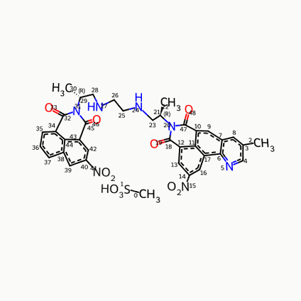 CS(=O)(=O)O.Cc1cnc2c(c1)cc1c3c(cc([N+](=O)[O-])cc32)C(=O)N([C@H](C)CNCCNC[C@@H](C)N2C(=O)c3cccc4cc([N+](=O)[O-])cc(c34)C2=O)C1=O